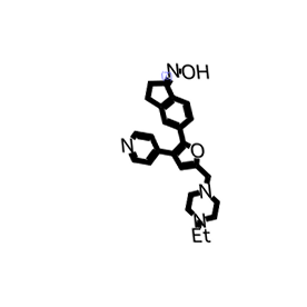 CCN1CCN(Cc2cc(-c3ccncc3)c(-c3ccc4c(c3)CC/C4=N/O)o2)CC1